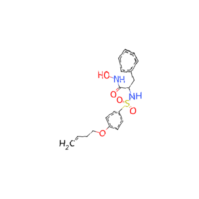 C=CCCOc1ccc(S(=O)(=O)NC(Cc2ccccc2)C(=O)NO)cc1